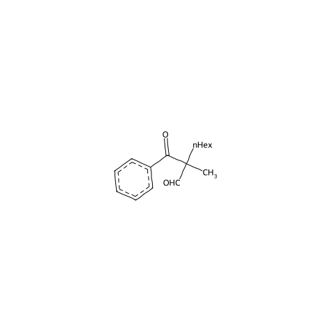 CCCCCCC(C)(C=O)C(=O)c1ccccc1